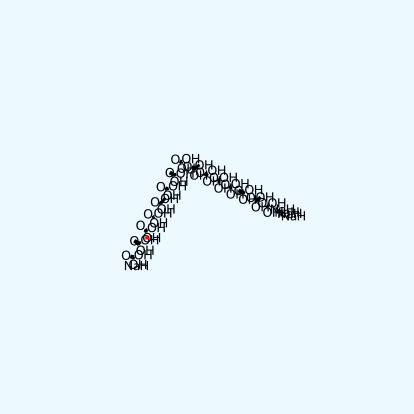 O=C(O)O.O=C(O)O.O=C(O)O.O=C(O)O.O=C(O)O.O=C(O)O.O=C(O)O.O=C(O)O.O=C(O)O.O=C(O)O.O=C(O)O.O=C(O)O.O=C(O)O.O=C(O)O.O=C(O)O.[NaH].[NaH].[NaH].[NaH].[NaH]